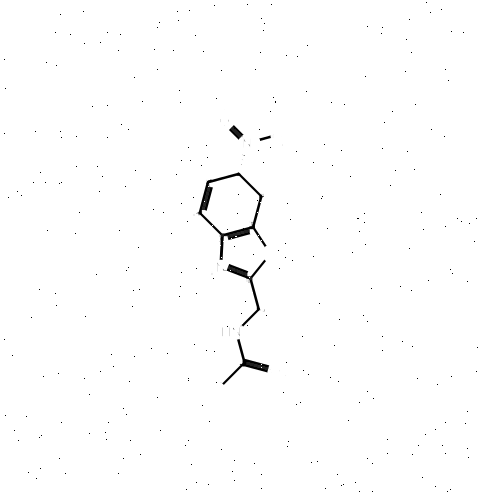 CC(=O)NCc1nc2c(s1)C[C@@H]([N+](=O)[O-])C=C2